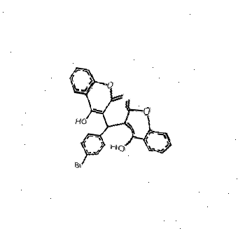 C=C1Oc2ccccc2C(O)=C1C(C1=C(O)c2ccccc2OC1=C)c1ccc(Br)cc1